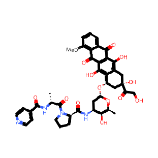 COc1cccc2c1C(=O)c1c(O)c3c(c(O)c1C2=O)C[C@@](O)(C(=O)CO)C[C@@H]3O[C@H]1C[C@H](NC(=O)[C@H]2CCCN2C(=O)[C@@H](C)NC(=O)c2ccncc2)[C@H](O)[C@H](C)O1